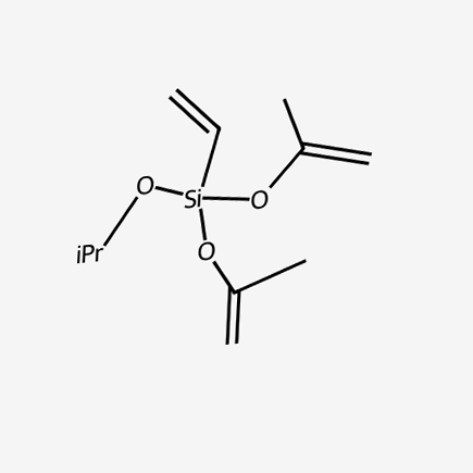 C=C[Si](OC(=C)C)(OC(=C)C)OC(C)C